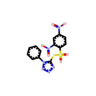 O=[N+]([O-])c1ccc(S(=O)(=O)Sc2nnnn2-c2ccccc2)c([N+](=O)[O-])c1